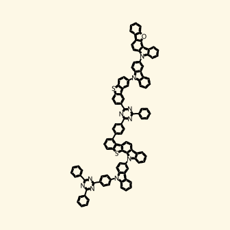 c1ccc(-c2nc(-c3ccccc3)nc(-c3ccc(-n4c5ccccc5c5cc(-n6c7ccccc7c7ccc8c(sc9cccc(-c%10ccc(-c%11nc(-c%12ccccc%12)nc(-c%12ccc%13sc%14ccc(-n%15c%16ccccc%16c%16cc(-n%17c%18ccccc%18c%18c%19oc%20ccccc%20c%19ccc%18%17)ccc%16%15)cc%14c%13c%12)n%11)cc%10)c98)c76)ccc54)cc3)n2)cc1